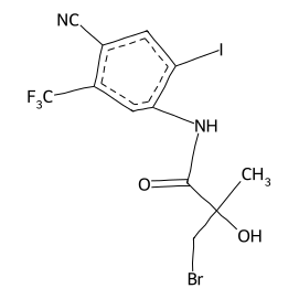 CC(O)(CBr)C(=O)Nc1cc(C(F)(F)F)c(C#N)cc1I